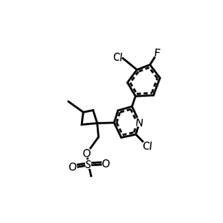 CC1CC(COS(C)(=O)=O)(c2cc(Cl)nc(-c3ccc(F)c(Cl)c3)c2)C1